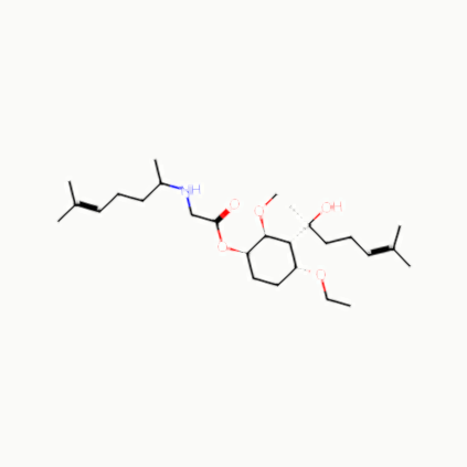 CCO[C@@H]1CC[C@@H](OC(=O)CNC(C)CCC=C(C)C)[C@@H](OC)[C@@H]1[C@@](C)(O)CCC=C(C)C